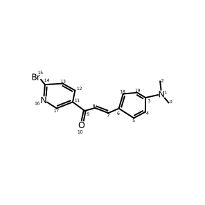 CN(C)c1ccc(C=CC(=O)c2ccc(Br)nc2)cc1